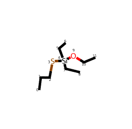 CCCS[Si](CC)(CC)OCC